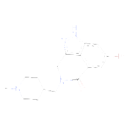 CN1CCC(CN2Cc3n[nH]c4cc(Br)cc(c34)C2=O)CC1